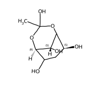 CC1(O)OC2[C@@H](O)CC(O)[C@@H](O1)[C@H]2O